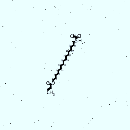 CC=CC(=O)OCCCCCCCCCCCCCCCCC[SiH2]C(Cl)Cl